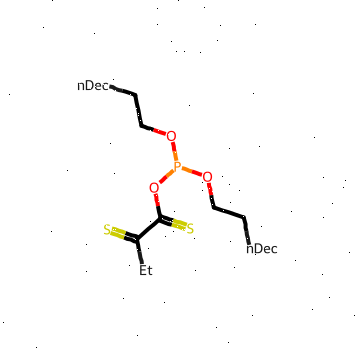 CCCCCCCCCCCCOP(OCCCCCCCCCCCC)OC(=S)C(=S)CC